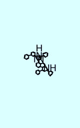 C1=C(c2ccccc2)c2c(ccc3c(C4=NC(c5ccccc5)NC(c5cccc(-c6ccccc6)c5)=N4)cccc23)NC1c1ccccc1